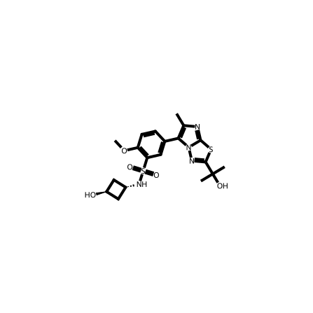 COc1ccc(-c2c(C)nc3sc(C(C)(C)O)nn23)cc1S(=O)(=O)N[C@H]1C[C@H](O)C1